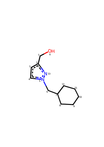 OCc1ccn(CC2CCCCC2)n1